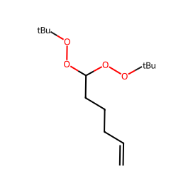 C=CCCCC(OOC(C)(C)C)OOC(C)(C)C